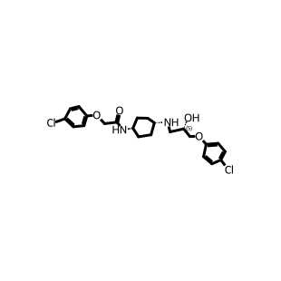 O=C(COc1ccc(Cl)cc1)N[C@H]1CC[C@@H](NC[C@H](O)COc2ccc(Cl)cc2)CC1